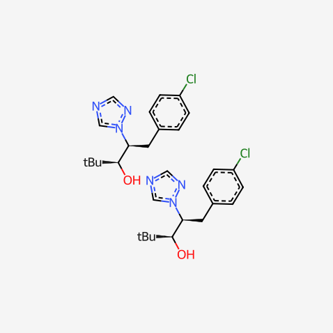 CC(C)(C)[C@H](O)[C@H](Cc1ccc(Cl)cc1)n1cncn1.CC(C)(C)[C@H](O)[C@H](Cc1ccc(Cl)cc1)n1cncn1